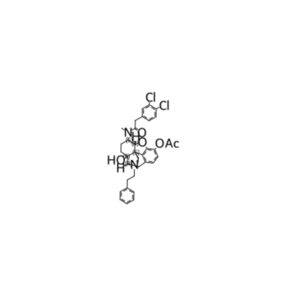 CC(=O)Oc1ccc2c3c1O[C@H]1[C@@H](N(C)C(=O)Cc4ccc(Cl)c(Cl)c4)CC[C@@]4(O)[C@@H](C2)N(CCc2ccccc2)CC[C@]314